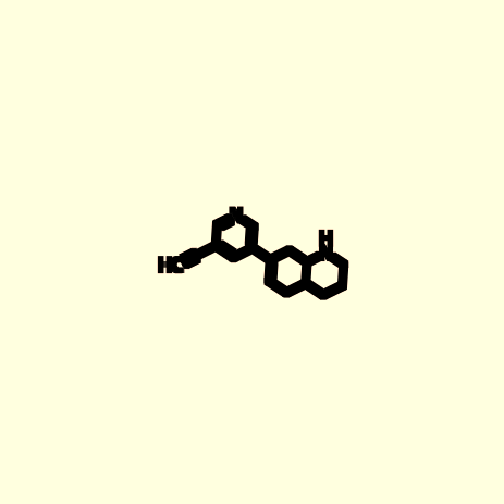 C#Cc1cncc(C2=CCC3CCCNC3C2)c1